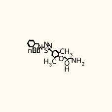 CCCCN(CC1C=CC=CC1Cl)c1nnc(-c2cc(C)c(OCC(O)CN)c(C)c2)s1